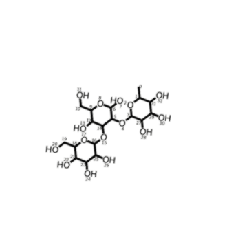 CC1OC(OC2C(O)OC(CO)C(O)C2OC2OC(CO)C(O)C(O)C2O)C(O)C(O)C1O